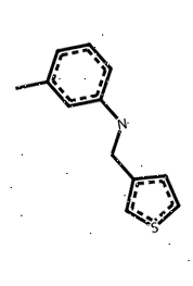 Cc1cccc([N]Cc2ccsc2)c1